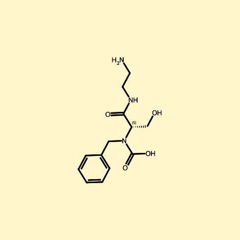 NCCNC(=O)[C@H](CO)N(Cc1ccccc1)C(=O)O